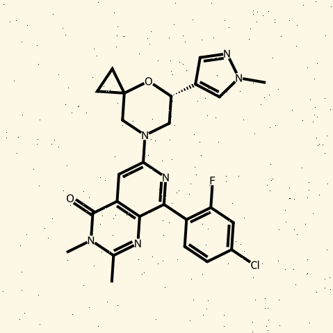 Cc1nc2c(-c3ccc(Cl)cc3F)nc(N3C[C@@H](c4cnn(C)c4)OC4(CC4)C3)cc2c(=O)n1C